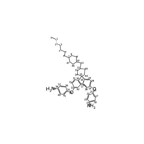 CCCCCCCC1CCC(CC2CCC(c3ccc(Oc4ccc(N)cc4)cc3)(c3ccc(Oc4ccc(N)cc4)cc3)CC2)CC1